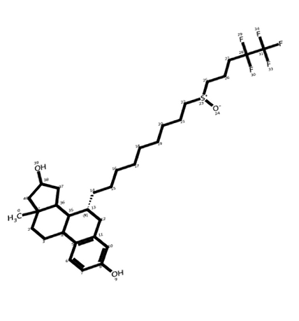 CC12CCC3c4ccc(O)cc4C[C@@H](CCCCCCCCC[S+]([O-])CCCC(F)(F)C(F)(F)F)C3C1CC(O)C2